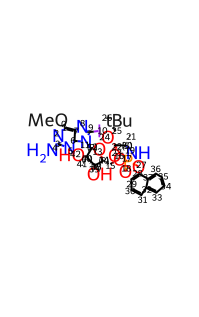 COc1nc(N)nc2c1nc(I)n2[C@@H]1O[C@H](COP(=O)(N[C@@H](C)C(=O)OCC(C)(C)C)Oc2cccc3ccccc23)[C@@H](O)[C@@]1(C)O